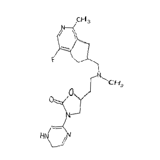 Cc1ncc(F)c2c1CC(CN(C)CCC1CN(C3=CNCC=N3)C(=O)O1)C2